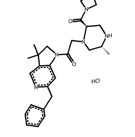 C[C@@H]1CN(CC(=O)N2CC(C)(C)c3cnc(Cc4ccccc4)cc32)[C@@H](C(=O)N2CCC2)CN1.Cl